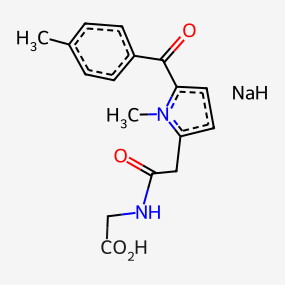 Cc1ccc(C(=O)c2ccc(CC(=O)NCC(=O)O)n2C)cc1.[NaH]